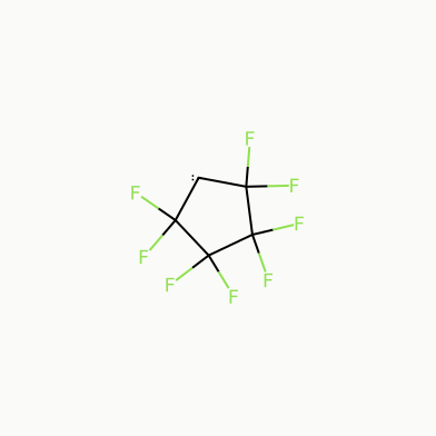 FC1(F)[C]C(F)(F)C(F)(F)C1(F)F